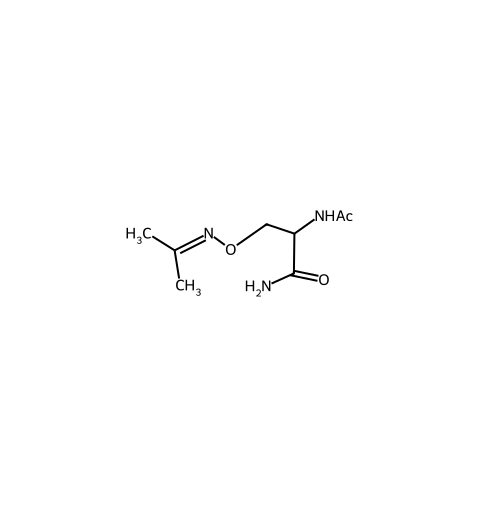 CC(=O)NC(CON=C(C)C)C(N)=O